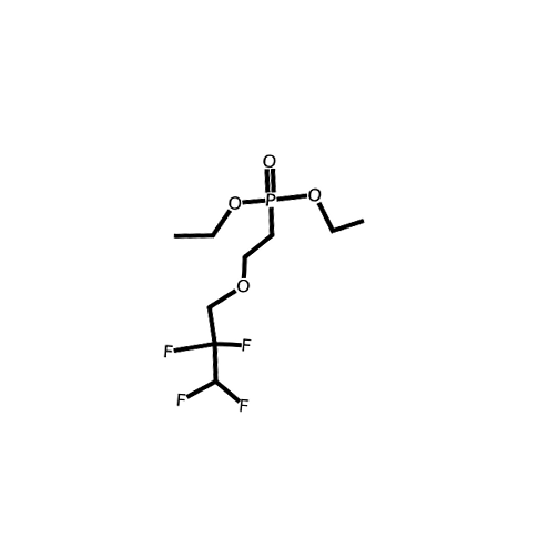 CCOP(=O)(CCOCC(F)(F)C(F)F)OCC